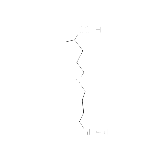 CCCCCCCCCCCSCCCC([18F])C(=O)O